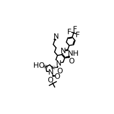 CC(C)(C)OC(=O)N1C[C@H](O)C[C@H]1C(=O)N1Cc2c(nc(C3C=CC(C(F)(F)F)=CC3)[nH]c2=O)C(CCCC#N)C1